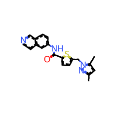 Cc1cc(C)n(Cc2ccc(C(=O)Nc3ccc4cnccc4c3)s2)n1